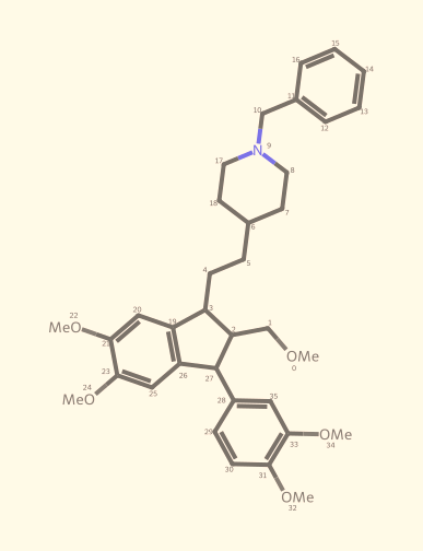 COCC1C(CCC2CCN(Cc3ccccc3)CC2)c2cc(OC)c(OC)cc2C1c1ccc(OC)c(OC)c1